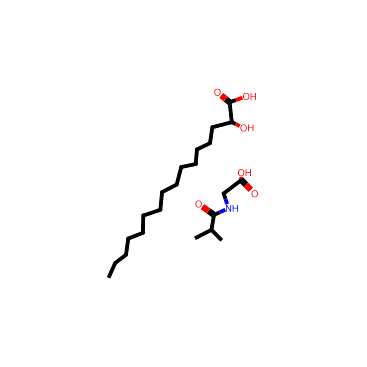 CC(C)C(=O)NCC(=O)O.CCCCCCCCCCCCCCC(O)C(=O)O